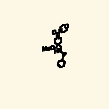 COCC1(CN[C@@H]2C[C@H]2c2ccccc2)CCN(C(=O)N2CCOCC2)CC1